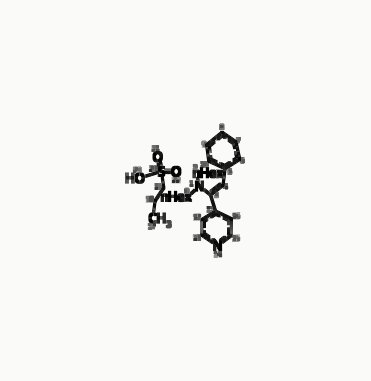 CCCCCCN(CCCCCC)C(=Cc1ccccc1)c1ccncc1.CCCS(=O)(=O)O